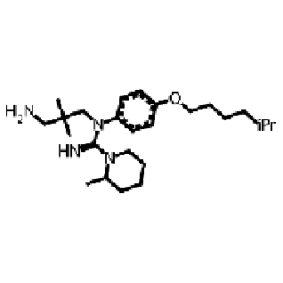 CC(C)CCCCOc1ccc(N(CC(C)(C)CN)C(=N)N2CCCCC2C)cc1